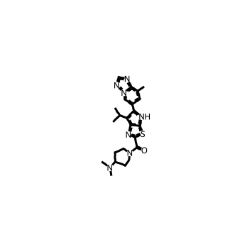 Cc1cc(-c2[nH]c3sc(C(=O)N4CCC(N(C)C)CC4)nc3c2C(C)C)cn2ncnc12